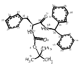 CC(C)(C)OC(=O)N[C@@H](Cc1ccccc1)C(=O)NC(c1ccccc1)c1ccccc1